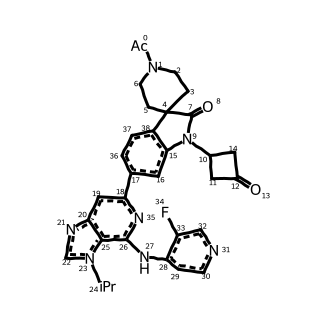 CC(=O)N1CCC2(CC1)C(=O)N(C1CC(=O)C1)c1cc(-c3cc4ncn(C(C)C)c4c(Nc4ccncc4F)n3)ccc12